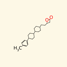 Cc1ccc(C2CCC(C3CCC(CCC4CC(=O)O4)CC3)CC2)cc1